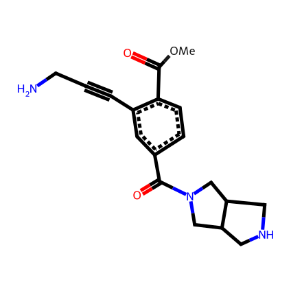 COC(=O)c1ccc(C(=O)N2CC3CNCC3C2)cc1C#CCN